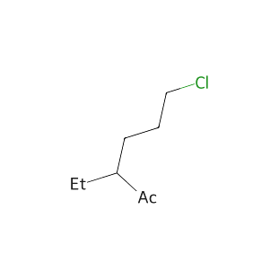 CCC(CCCCl)C(C)=O